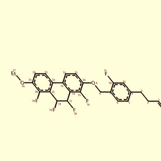 C=CCCc1ccc(COc2ccc3c(c2F)C(F)C(F)c2c-3ccc(OCC)c2F)c(F)c1